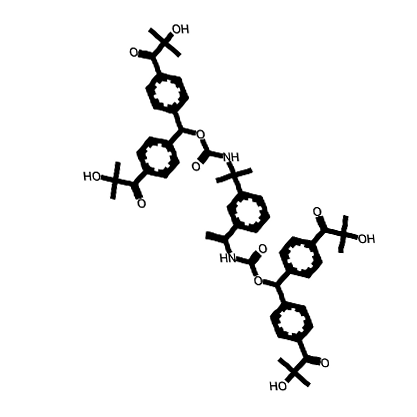 C=C(NC(=O)OC(c1ccc(C(=O)C(C)(C)O)cc1)c1ccc(C(=O)C(C)(C)O)cc1)c1cccc(C(C)(C)NC(=O)OC(c2ccc(C(=O)C(C)(C)O)cc2)c2ccc(C(=O)C(C)(C)O)cc2)c1